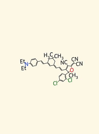 CCN(CC)c1ccc(/C=C/C2=CC(=C/C=C/C3=C(C#N)C(=C(C#N)C#N)OC3(C)c3ccc(Cl)cc3Cl)/CC(C)(C)C2)cc1